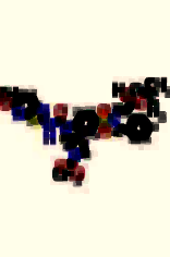 COC(=O)N1CC[C@]2(C1)CN(C(=O)Nc1nc3ccc(OC)nc3s1)c1ccc(S(=O)(=O)N(CCC(=O)OC(C)(C)C)Cc3ccccc3)cc12